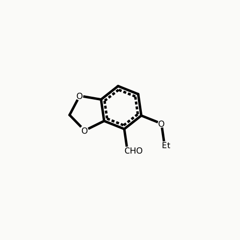 CCOc1ccc2c(c1C=O)OCO2